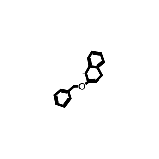 [CH]1C(OCc2ccccc2)=CCc2ccccc21